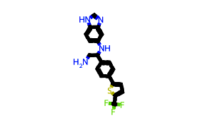 NCC(Nc1ccc2[nH]cnc2c1)c1ccc(-c2ccc(C(F)(F)F)s2)cc1